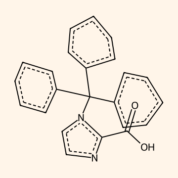 O=C(O)c1nccn1C(c1ccccc1)(c1ccccc1)c1ccccc1